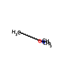 CCCCCCCCCCCCCCCCCCOCCN(C)C